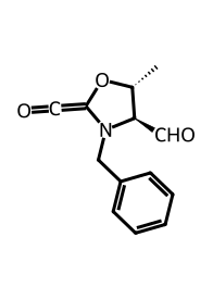 C[C@H]1OC(=C=O)N(Cc2ccccc2)[C@@H]1C=O